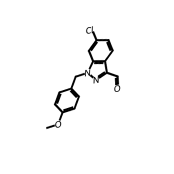 COc1ccc(Cn2nc(C=O)c3ccc(Cl)cc32)cc1